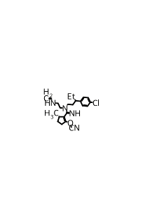 C=CNCCN(CCC(CC)c1ccc(Cl)cc1)C(=N)C1=C(OC#N)CCC1C